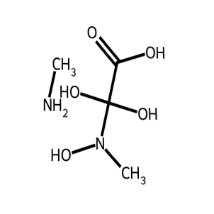 CN.CN(O)C(O)(O)C(=O)O